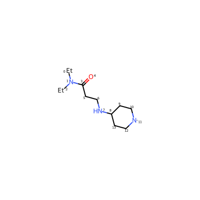 CCN(CC)C(=O)CCNC1CC[N]CC1